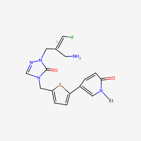 CCn1cc(-c2ccc(Cn3cnn(C/C(=C/F)CN)c3=O)s2)ccc1=O